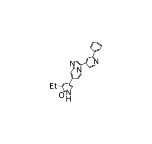 CCc1cc(-c2ccn3c(-c4ccnc(-c5ccccc5)c4)cnc3c2)c[nH]c1=O